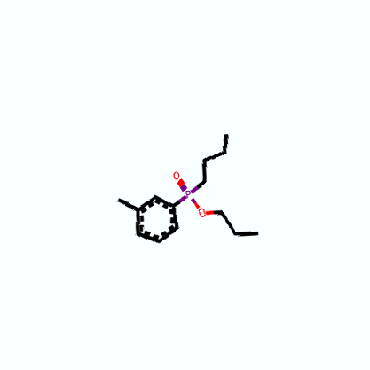 CCCCP(=O)(OCCC)c1cccc(C)c1